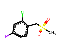 CS(=O)(=O)Cc1ccc(I)cc1Cl